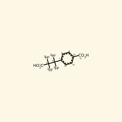 [2H]C([2H])(C(=O)O)C([2H])([2H])c1ccc(C(=O)O)cc1